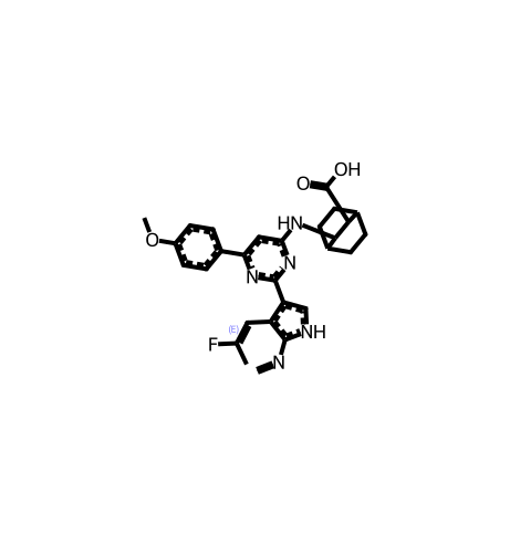 C=Nc1[nH]cc(-c2nc(NC3C4CCC(CC4)C3C(=O)O)cc(-c3ccc(OC)cc3)n2)c1/C=C(\C)F